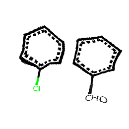 Clc1ccccc1.O=Cc1ccccc1